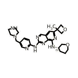 CC1(c2cc3cnc(Nc4ccc(CN5CCNCC5)cn4)nc3c(N[C@H]3CCCOC3)n2)COC1